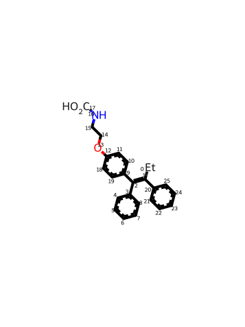 CCC(=C(c1ccccc1)c1ccc(OCCNC(=O)O)cc1)c1ccccc1